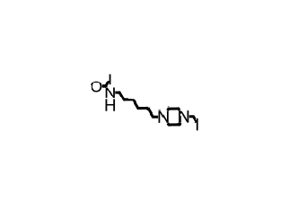 O=C(I)NCCCCCCN1CCN(CI)CC1